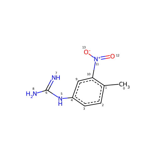 Cc1ccc(NC(=N)N)cc1[N+](=O)[O-]